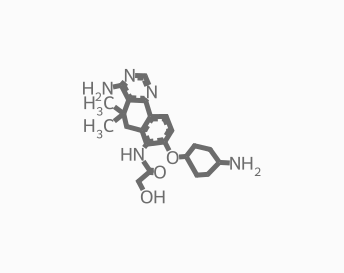 CC1(C)Cc2c(ccc(OC3CCC(N)CC3)c2NC(=O)CO)-c2ncnc(N)c21